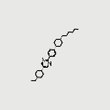 CCCCCC[C@H]1CC[C@H](c2ccc(-c3ncc([C@H]4CC[C@H](CC)CC4)cn3)cc2)CC1